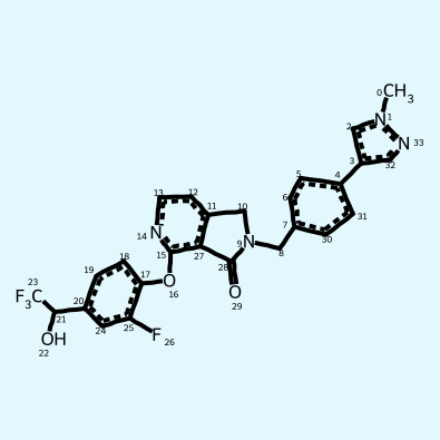 Cn1cc(-c2ccc(CN3Cc4ccnc(Oc5ccc(C(O)C(F)(F)F)cc5F)c4C3=O)cc2)cn1